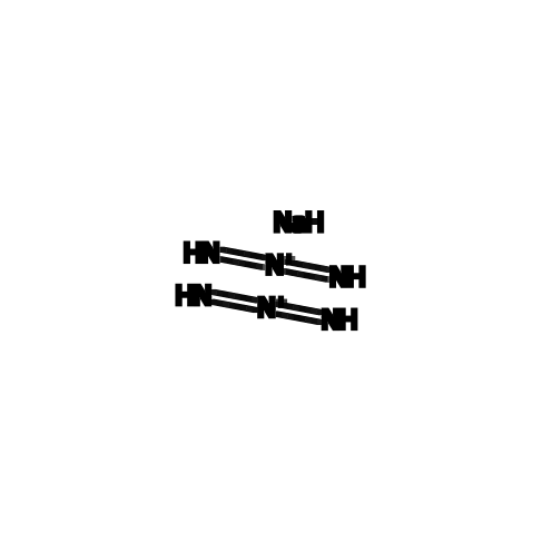 N=[N+]=N.N=[N+]=N.[NaH]